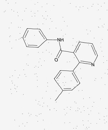 Cc1ccc(-c2ncccc2C(=O)Nc2cc[c]cc2)cc1